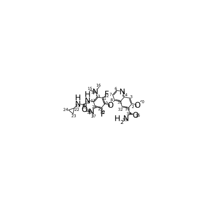 COc1cc2nccc(Oc3c(F)c(N(C)C)c(NC(=O)NC4CC4)c(N(C)C)c3F)c2cc1C(N)=O